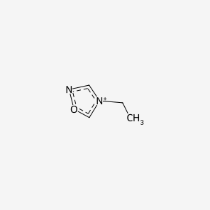 CC[n+]1cnoc1